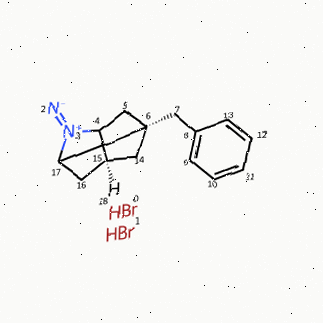 Br.Br.[N-]=[N+]1C2C[C@@]3(Cc4ccccc4)C[C@H]2CC13